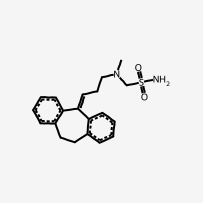 CN(CCC=C1c2ccccc2CCc2ccccc21)CS(N)(=O)=O